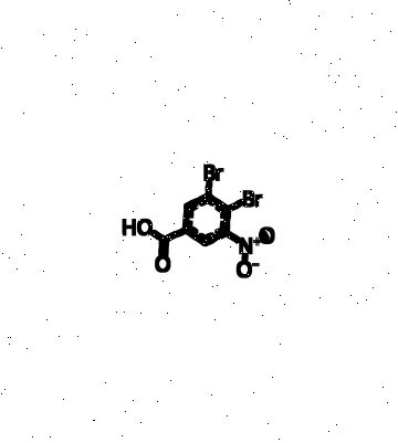 O=C(O)c1cc(Br)c(Br)c([N+](=O)[O-])c1